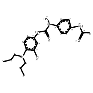 CCCN(CCC)c1ccc(NC(=O)N(S)c2ccc(NC(C)=O)cc2)cc1Cl